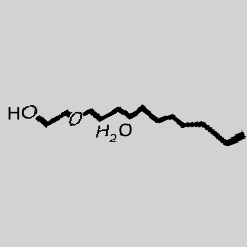 CCCCCCCCCCCOCCO.O